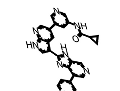 O=C(Nc1cncc(-c2cnc3[nH]cc(-c4nc5c(-c6ccncc6)cncc5[nH]4)c3c2)c1)C1CC1